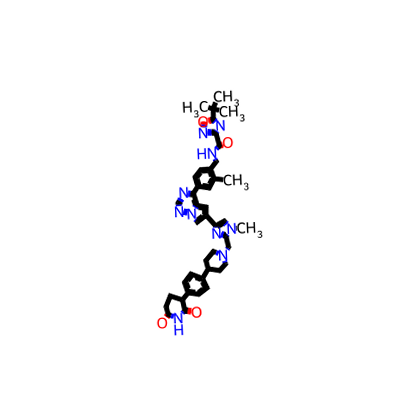 Cc1cc(-c2ncnn3cc(-c4cn(C)c(CN5CCC(c6ccc(C7CCC(=O)NC7=O)cc6)CC5)n4)cc23)ccc1CNC(=O)c1noc(C(C)(C)C)n1